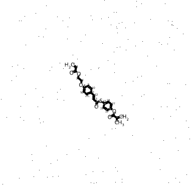 C=CC(=O)OCCOc1ccc(/C=C/C(=O)Sc2ccc(OC(=O)C(=C)C)cc2)cc1